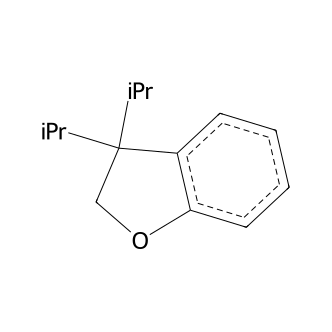 CC(C)C1(C(C)C)COc2ccccc21